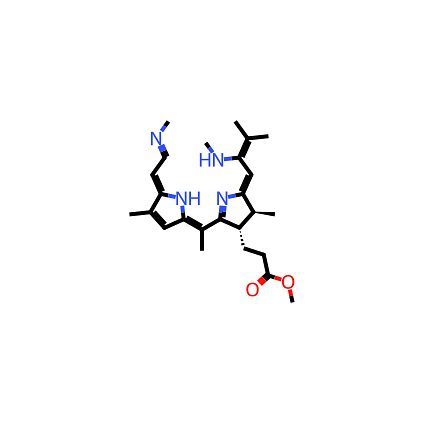 C/N=C/C=c1\[nH]/c(=C(/C)C2=N/C(=C\C(NC)=C(C)C)[C@@H](C)[C@@H]2CCC(=O)OC)cc1C